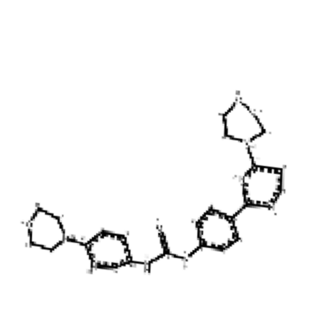 O=C(Nc1ccc(-c2nccc(N3CCOCC3)n2)cc1)Nc1ccc(N2CCOCC2)nc1